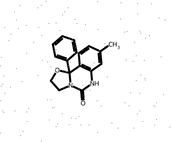 Cc1ccc2c(c1)NC(=O)N1CCOC21c1ccccc1